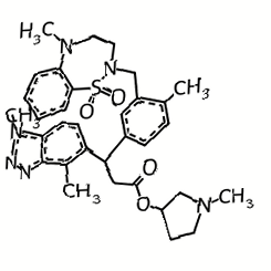 Cc1ccc(C(CC(=O)OC2CCN(C)C2)c2ccc3c(nnn3C)c2C)cc1CN1CCN(C)c2ccccc2S1(=O)=O